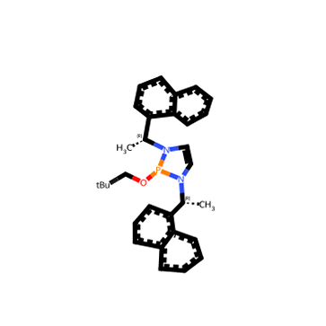 C[C@H](c1cccc2ccccc12)N1C=CN([C@H](C)c2cccc3ccccc23)P1OCC(C)(C)C